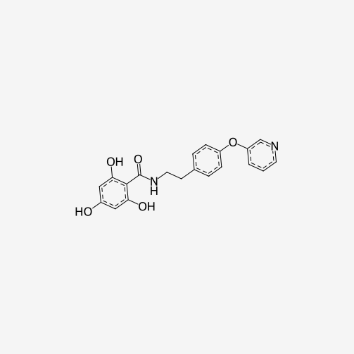 O=C(NCCc1ccc(Oc2cccnc2)cc1)c1c(O)cc(O)cc1O